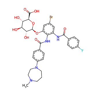 CN1CCCN(c2ccc(C(=O)Nc3c(NC(=O)c4ccc(F)cc4)cc(Br)cc3O[C@@H]3O[C@H](C(=O)O)[C@@H](O)[C@H](O)[C@H]3O)cc2)CC1